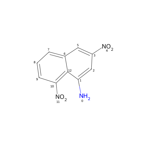 Nc1cc([N+](=O)[O-])cc2cccc([N+](=O)[O-])c12